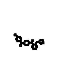 O=C(c1ccccc1Cn1ccnc1)C1CCN(C(=O)c2ccc(Cl)cc2)CC1